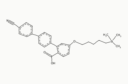 C[Si](C)(C)CCCCCOc1ccc(C(=O)O)c(-c2ccc(-c3ccc(C#N)cc3)cc2)c1